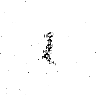 Cc1cn2cc(NC(=O)c3cnc(N4CC([C@@H]5COCCN5)C4)cn3)cc(F)c2n1